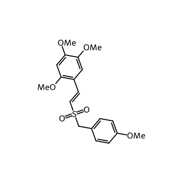 COc1ccc(CS(=O)(=O)C=Cc2cc(OC)c(OC)cc2OC)cc1